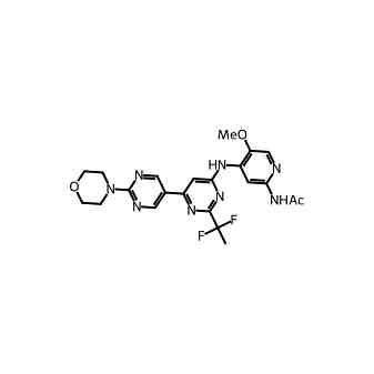 COc1cnc(NC(C)=O)cc1Nc1cc(-c2cnc(N3CCOCC3)nc2)nc(C(C)(F)F)n1